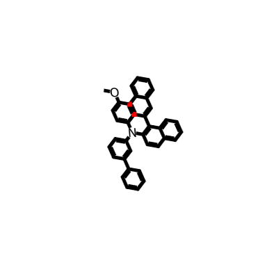 COc1ccc(N(c2cccc(-c3ccccc3)c2)c2ccc3ccccc3c2-c2ccc3ccccc3c2)cc1